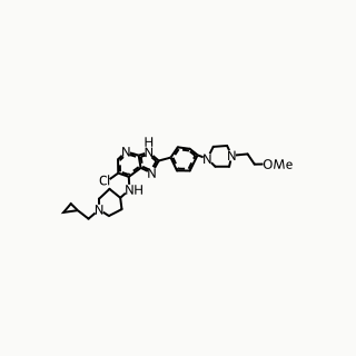 COCCN1CCN(c2ccc(-c3nc4c(NC5CCN(CC6CC6)CC5)c(Cl)cnc4[nH]3)cc2)CC1